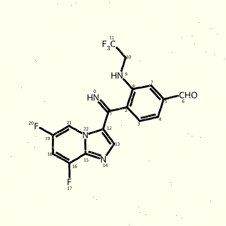 N=C(c1ccc(C=O)cc1NCC(F)(F)F)c1cnc2c(F)cc(F)cn12